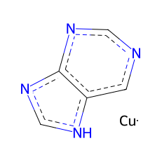 [Cu].c1ncc2[nH]cnc2n1